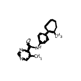 CC1=C(c2ccc(NC(=O)c3ncncc3C)cc2)CCCC1